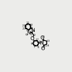 Cn1c(COc2cccc(N3C(=O)CCC3=O)c2)nc2ccccc21